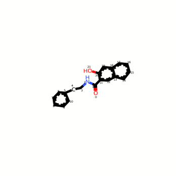 O=C(NCCc1ccccc1)c1cc2ccccc2cc1O